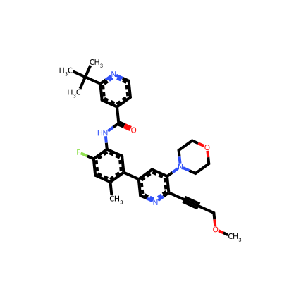 COCC#Cc1ncc(-c2cc(NC(=O)c3ccnc(C(C)(C)C)c3)c(F)cc2C)cc1N1CCOCC1